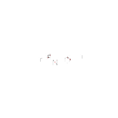 CC(C)CCCC(C)CCSC(=O)CCCCCCCC(CCCCCCCC(=O)SCCC(C)CCCC(C)C)CCCCN(C)C